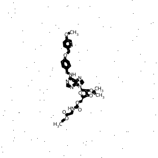 CCOC(=O)CNC(=O)OC[C@H]1O[C@@H](n2cnc3c(NCc4ccc(OCc5ccc(OC)cc5)cc4)ncnc32)C2OC(C)(C)OC21